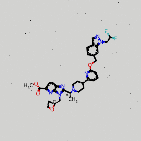 COC(=O)c1ccc2nc([C@H](C)N3CCC(c4cccc(OCc5ccc6cnn(CC(F)F)c6c5)n4)CC3)n(C[C@@H]3CCO3)c2n1